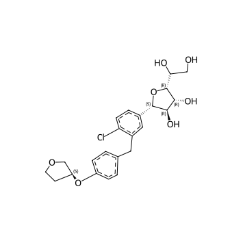 OCC(O)[C@H]1O[C@@H](c2ccc(Cl)c(Cc3ccc(O[C@H]4CCOC4)cc3)c2)[C@H](O)[C@H]1O